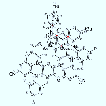 [C-]#[N+]c1cc2c3c(c1)N(c1c(C)cc(C)cc1C)c1cc4c(cc1B3c1cc(C(C)(C)C)ccc1O2)B1c2cc3c(cc2N(c2c(C)cc(C)cc2C)c2cc(C#N)cc(c21)O4)N(c1ccc(C(C)(C)C)cc1)c1cc(C#N)cc2c1B3c1cc(C(C)(C)C)ccc1N2c1ccc(C(C)(C)C)cc1